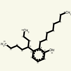 CCCCCCCCc1c(O)cccc1C(CCC)CCCC